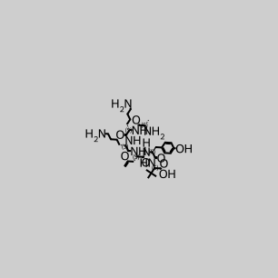 C=CC[C@H](NC(=O)[C@H](CCCCN)NC(=O)[C@H](CCCCN)NC(=O)[C@H](C)N)C(=O)N[C@@H](Cc1ccc(O)cc1)C(=O)N[C@H](C(=O)O)C(C)(C)C